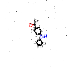 CCC(=O)c1ccc(Nc2ccccc2)cc1